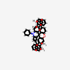 Cc1ccccc1-c1ccc2c(c1)C1(c3cc(-c4ccccc4C)ccc3O2)c2cc(-c3ccccc3C)ccc2N(c2ccccc2)c2ccc(-c3ccccc3C)cc21